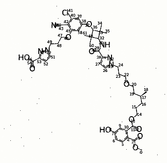 COC(=O)c1ccc(O)cc1C(=O)OCCC[C@H](C)CCOCCCn1ccc(C(=O)NC2C(C)(C)C(Oc3cc(Cl)c(C#N)c(OCCCn4ccc(C(=O)O)n4)c3)C2(C)C)n1